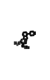 CN(C[C@@H]1OCc2c(-c3ccncc3)cccc21)C(=O)OC(C)(C)C